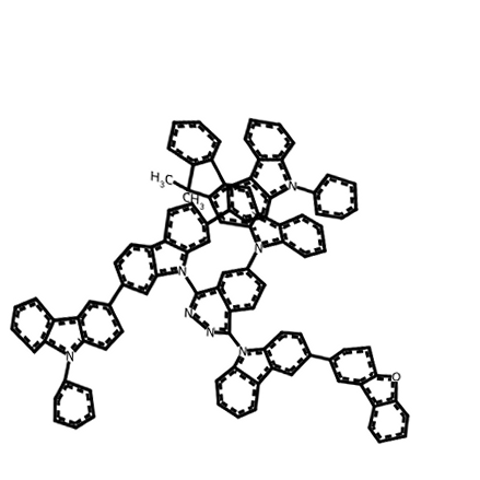 CC1(C)c2ccccc2-c2cc3c4ccccc4n(-c4ccc5c(-n6c7ccccc7c7cc(-c8ccc9oc%10ccccc%10c9c8)ccc76)nnc(-n6c7cc(-c8ccc9c(c8)c8ccccc8n9-c8ccccc8)ccc7c7ccc(-c8ccc9c(c8)c8ccccc8n9-c8ccccc8)cc76)c5c4)c3cc21